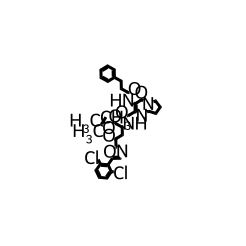 CC(C)(C)OC(=O)C(CC(=O)c1ncc(-c2c(Cl)cccc2Cl)o1)NC(=O)c1nc2n(c(=O)c1NC(=O)CCc1ccccc1)CCC2